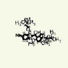 Cc1cc(OC(F)F)c(C(O)c2nc3ccc(C#N)cc3n2COCC[Si](C)(C)C)c2ccn(C(=O)OC(C)(C)C)c12